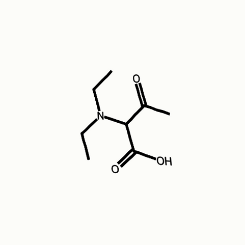 CCN(CC)C(C(C)=O)C(=O)O